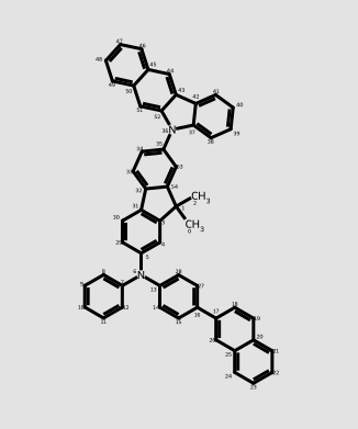 CC1(C)c2cc(N(c3ccccc3)c3ccc(-c4ccc5ccccc5c4)cc3)ccc2-c2ccc(-n3c4ccccc4c4cc5ccccc5cc43)cc21